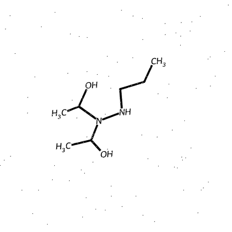 CCCNN(C(C)O)C(C)O